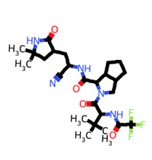 CC1(C)CC(CC(C#N)NC(=O)C2C3CCCC3CN2C(=O)C(NC(=O)C(F)(F)F)C(C)(C)C)C(=O)N1